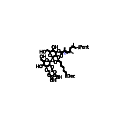 CCCCCCCCCCCCCCCC(=O)OC1C(OC2OC(CO)C(O)C(OSOOO)C2OSOOO)OC(CO)C(O)C1OC(=O)/C(C)=C/[C@@H](C)C[C@@H](C)C[C@@H](C)CCC